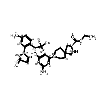 CCOC(=O)[C@@H]1CC2(CCN(c3cc(O[C@H](c4ccc(C)nc4-n4ccc(C)n4)C(F)(F)F)nc(N)n3)CC2)CN1